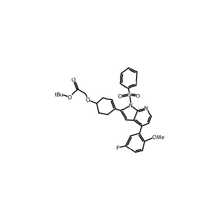 COc1ccc(F)cc1-c1ccnc2c1cc(C1=CCC(OCC(=O)OC(C)(C)C)CC1)n2S(=O)(=O)c1ccccc1